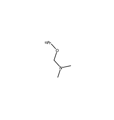 CC[CH]OCN(C)C